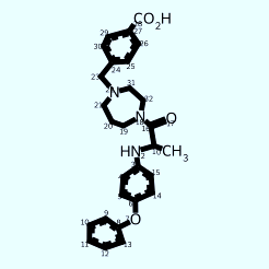 CC(Nc1ccc(Oc2ccccc2)cc1)C(=O)N1CCCN(Cc2ccc(C(=O)O)cc2)CC1